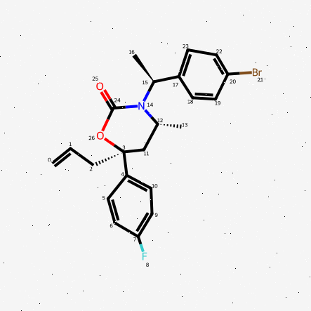 C=CC[C@@]1(c2ccc(F)cc2)C[C@@H](C)N([C@@H](C)c2ccc(Br)cc2)C(=O)O1